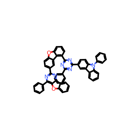 c1ccc(-c2nc(-c3ccc4c(c3)c3ccccc3n4-c3ccccc3)nc(-c3cccc4oc5ccc(-c6nc(-c7ccccc7)c7oc8ccccc8c7n6)cc5c34)n2)cc1